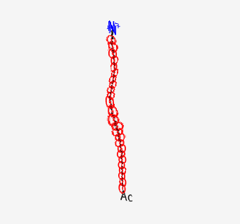 CC(=O)CCOCCOCCOCCOCCOCCOCCOCCOCCOCCOCCOCCOCCOCCOCCOCCOCCOCCOCCOCCOCCOCCOCCOCCOCCOCCCCN=[N+]=[N-]